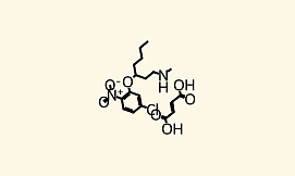 CCCCC(CCNC)Oc1cc(Cl)ccc1[N+](=O)[O-].O=C(O)C=CC(=O)O